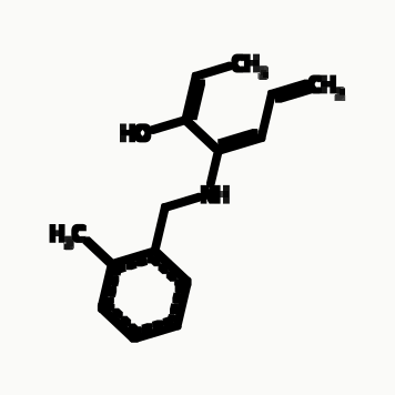 C=C/C=C(NCc1ccccc1C)\C(O)=C/C